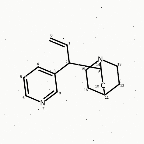 C=CC(c1cccnc1)C1CC2CCN1CC2